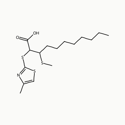 CCCCCCCCC(SC)C(Sc1nc(C)cs1)C(=O)O